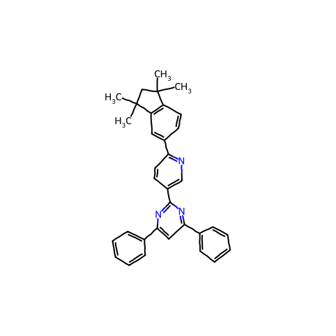 CC1(C)CC(C)(C)c2cc(-c3ccc(-c4nc(-c5ccccc5)cc(-c5ccccc5)n4)cn3)ccc21